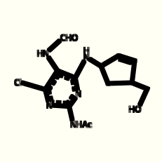 CC(=O)Nc1nc(Cl)c(NC=O)c(NC2C=CC(CO)C2)n1